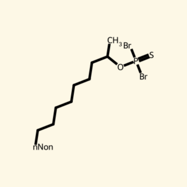 CCCCCCCCCCCCCCCCC(C)OP(=S)(Br)Br